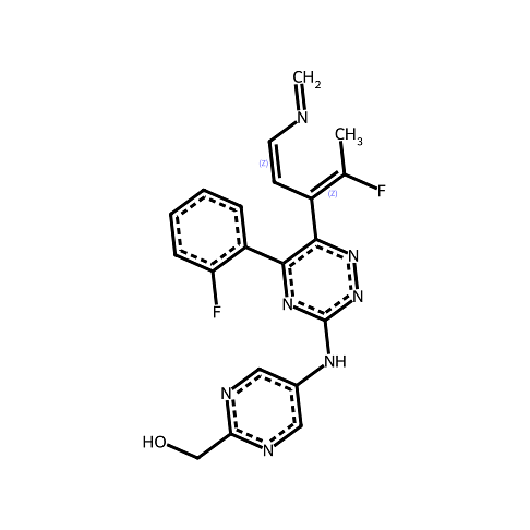 C=N/C=C\C(=C(/C)F)c1nnc(Nc2cnc(CO)nc2)nc1-c1ccccc1F